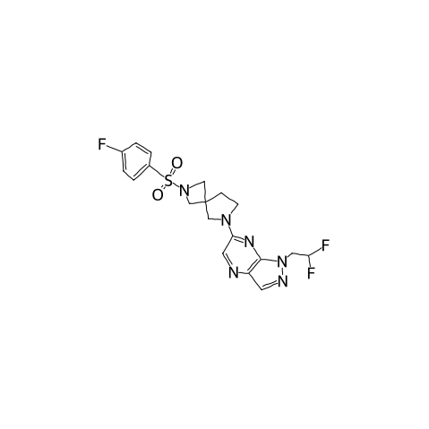 O=S(=O)(c1ccc(F)cc1)N1CC2(CCN(c3cnc4cnn(CC(F)F)c4n3)C2)C1